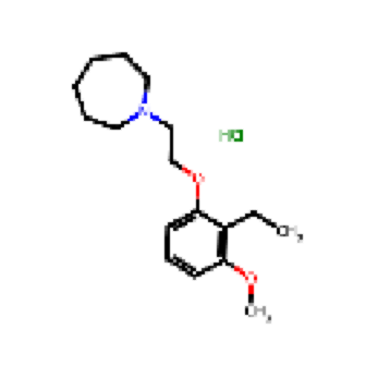 CCc1c(OC)cccc1OCCN1CCCCCC1.Cl